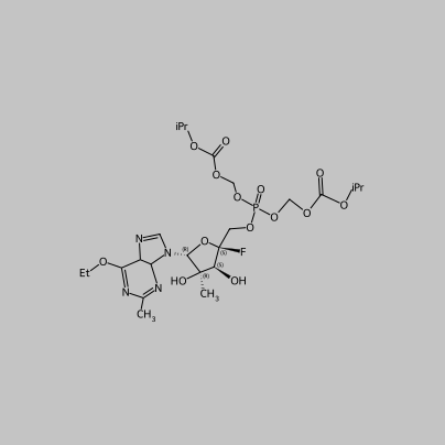 CCOC1=NC(C)=NC2C1N=CN2[C@@H]1O[C@](F)(COP(=O)(OCOC(=O)OC(C)C)OCOC(=O)OC(C)C)[C@@H](O)[C@@]1(C)O